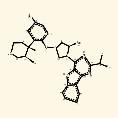 CC(=O)[C@@H]1C[C@H](Oc2ncc(Br)cc2[C@@]2(F)CCOC[C@@H]2C)CN1c1nc(C(F)F)nc2c1oc1ccccc12